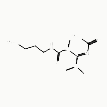 COCCCNC(=O)N(C)/C(=N\C(=O)OC)N(C)C